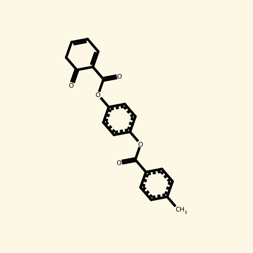 Cc1ccc(C(=O)Oc2ccc(OC(=O)C3=CC=CCC3=O)cc2)cc1